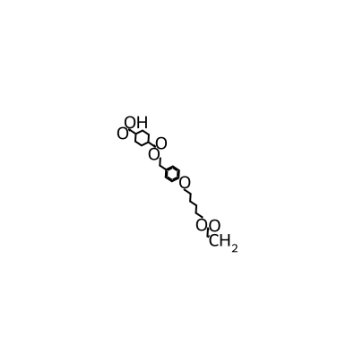 C=CC(=O)OCCCCCCOc1ccc(CCOC(=O)C2CCC(C(=O)O)CC2)cc1